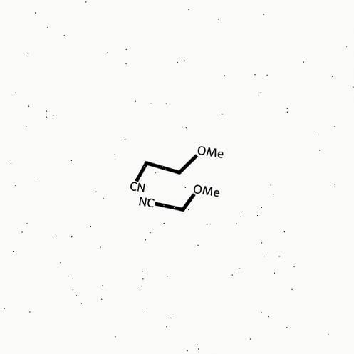 COCC#N.COCCC#N